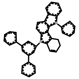 C1=Cc2c(c3c(ccc4c5ccccc5n(-c5ccccc5)c43)n2-c2cc(-c3ccccc3)cc(-c3ccccc3)c2)CC1